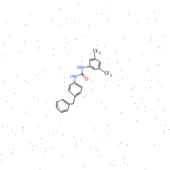 O=C(Nc1ccc(Cc2ccccc2)cc1)Nc1cc(C(F)(F)F)cc(C(F)(F)F)c1